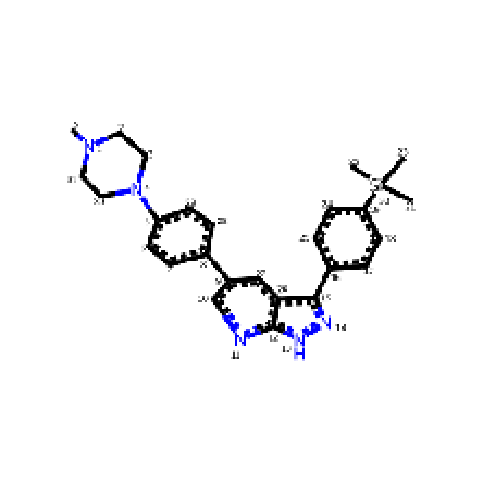 CN1CCN(c2ccc(-c3cnc4[nH]nc(-c5ccc([Si](C)(C)C)cc5)c4c3)cc2)CC1